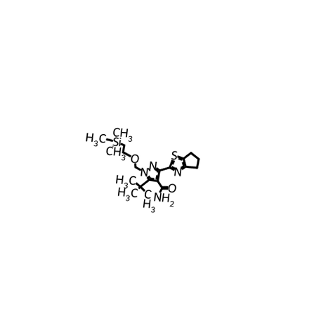 CC(C)(C)c1c(C(N)=O)c(-c2nc3c(s2)CCC3)nn1COCC[Si](C)(C)C